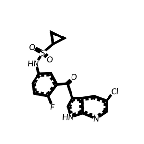 O=C(c1cc(NS(=O)(=O)C2CC2)ccc1F)c1c[nH]c2ncc(Cl)cc12